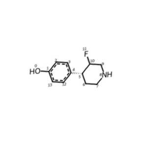 Oc1ccc([C@H]2CCNCC2F)cc1